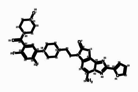 Nc1nc2c(sc(=O)n2CCN2CCN(c3cc(C(=O)N4CC[S+]([O-])CC4)c(F)cc3F)CC2)c2nc(-c3ccco3)nn12